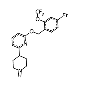 CCc1ccc(COc2cccc(C3CCNCC3)n2)c(OC(F)(F)F)c1